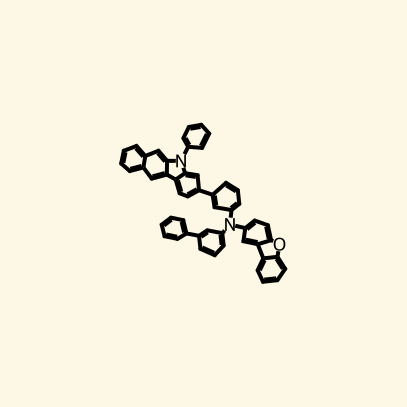 c1ccc(-c2cccc(N(c3cccc(-c4ccc5c6cc7ccccc7cc6n(-c6ccccc6)c5c4)c3)c3ccc4oc5ccccc5c4c3)c2)cc1